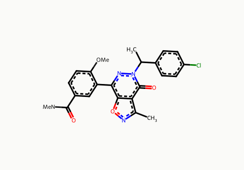 CNC(=O)c1ccc(OC)c(-c2nn(C(C)c3ccc(Cl)cc3)c(=O)c3c(C)noc23)c1